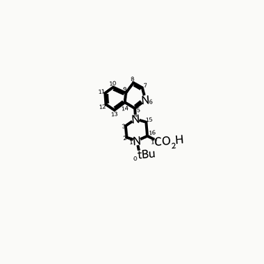 CC(C)(C)N1CCN(c2nccc3ccccc23)CC1C(=O)O